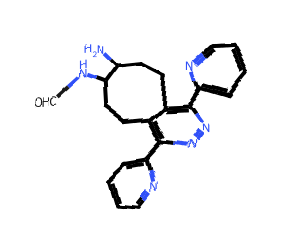 NC1CCc2c(-c3ccccn3)nnc(-c3ccccn3)c2CCC1NC=O